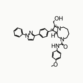 COc1ccc(NC(=O)N2CCCCN3[C@H](CO)[C@H](c4ccc(-c5ccn(-c6ccccc6)n5)cc4)[C@@H]3C2)cc1